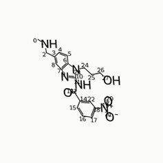 CNCc1ccc2c(c1)nc(NC(=O)c1cccc([N+](=O)[O-])c1)n2CCCO